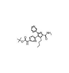 CCCCc1c(C(N)=O)nn(-c2cnccn2)c1-c1ccc(NC(=O)OC(C)(C)C)cn1